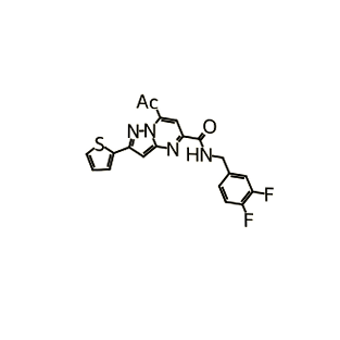 CC(=O)c1cc(C(=O)NCc2ccc(F)c(F)c2)nc2cc(-c3cccs3)nn12